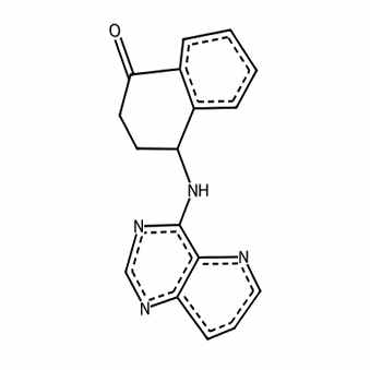 O=C1CCC(Nc2ncnc3cccnc23)c2ccccc21